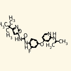 C=C(C)Nc1cc(Oc2ccc(NC(=O)Nc3cc(C(C)(C)C)no3)c(F)c2)ccn1